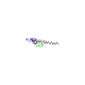 CCCCCCCCCCCCCCCCc1cccc(C(C)(C)N)c1C.Cl